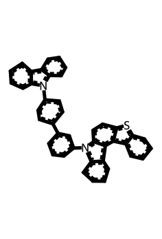 c1cc(-c2ccc(-n3c4ccccc4c4ccccc43)cc2)cc(-n2c3ccccc3c3c4c(ccc32)sc2ccccc24)c1